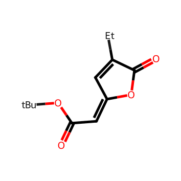 CCC1=CC(=CC(=O)OC(C)(C)C)OC1=O